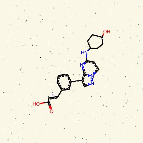 O=C(O)/C=C/c1cccc(-c2cnn3ccc(NC4CCC(O)CC4)nc23)c1